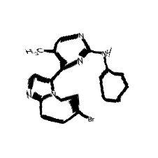 Cc1cnc(NC2CCCCC2)nc1-c1cnc2ccc(Br)cn12